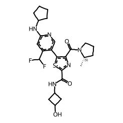 C[C@H]1CCCN1C(=O)c1nc(C(=O)NC2CC(O)C2)sc1-c1cnc(NC2CCCC2)cc1C(F)F